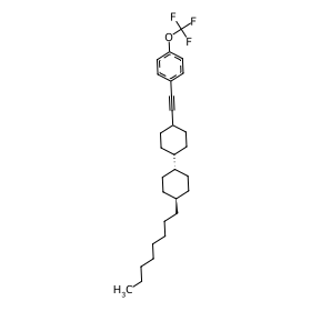 CCCCCCCC[C@H]1CC[C@H](C2CCC(C#Cc3ccc(OC(F)(F)F)cc3)CC2)CC1